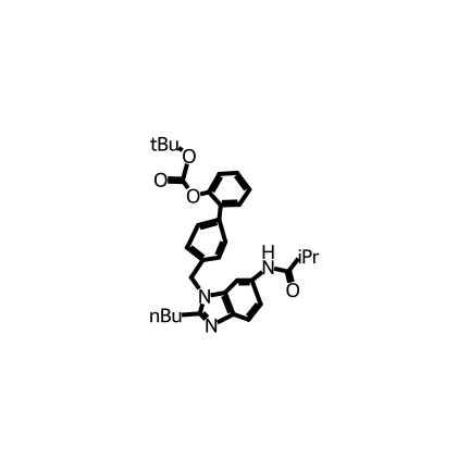 CCCCc1nc2ccc(NC(=O)C(C)C)cc2n1Cc1ccc(-c2ccccc2OC(=O)OC(C)(C)C)cc1